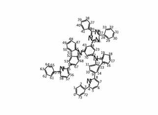 c1ccc(-c2cccc(-c3ccc4c(c3)c3ccccc3n4-c3cc(-c4nc(-c5ccccc5)nc(-c5ccccc5)n4)cc(-n4c5ccccc5c5cc(-c6cccc(-c7ccccc7)n6)ccc54)c3)n2)cc1